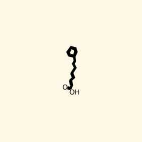 O=C(O)C=CC=CCCCc1ccccc1